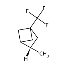 C[C@H]1CC2(C(F)(F)F)CC1C2